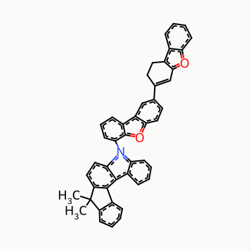 CC1(C)c2ccccc2-c2c1ccc1c2c2ccccc2n1-c1cccc2c1oc1ccc(C3=Cc4oc5ccccc5c4CC3)cc12